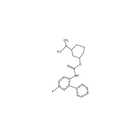 CN(C)C1CCCC(OC(=O)Nc2ccc(F)cc2-c2ccccc2)C1